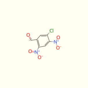 O=[C]c1cc(Cl)c([N+](=O)[O-])cc1[N+](=O)[O-]